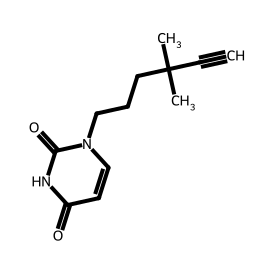 C#CC(C)(C)CCCn1ccc(=O)[nH]c1=O